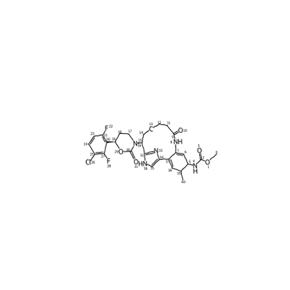 COC(=O)NC1C=C2NC(=O)CCCC[C@H](N3CC[C@H](c4c(F)ccc(Cl)c4F)OC3=O)c3nc(c[nH]3)C2=CC1C